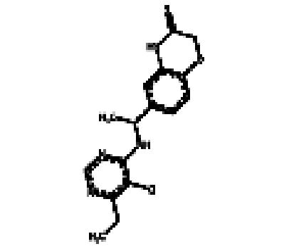 CCc1ncnc(NC(C)c2ccc3c(c2)NC(=S)CO3)c1Cl